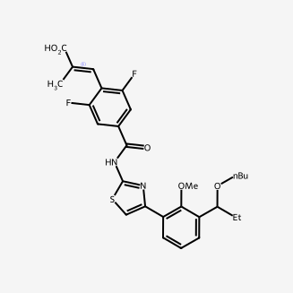 CCCCOC(CC)c1cccc(-c2csc(NC(=O)c3cc(F)c(/C=C(\C)C(=O)O)c(F)c3)n2)c1OC